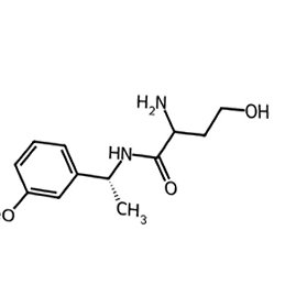 COc1cccc([C@@H](C)NC(=O)C(N)CCO)c1